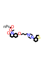 CCCC(=O)OC(C)n1c(=O)ccc2ccc(OCCCCN3CCN(c4cccc5sccc45)CC3)cc21